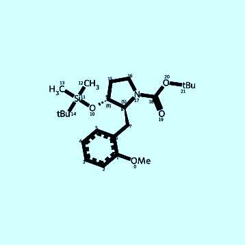 COc1ccccc1C[C@H]1[C@H](O[Si](C)(C)C(C)(C)C)CCN1C(=O)OC(C)(C)C